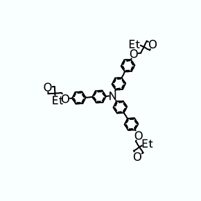 CCC1(COc2ccc(-c3ccc(N(c4ccc(-c5ccc(OCC6(CC)COC6)cc5)cc4)c4ccc(-c5ccc(OCC6(CC)COC6)cc5)cc4)cc3)cc2)COC1